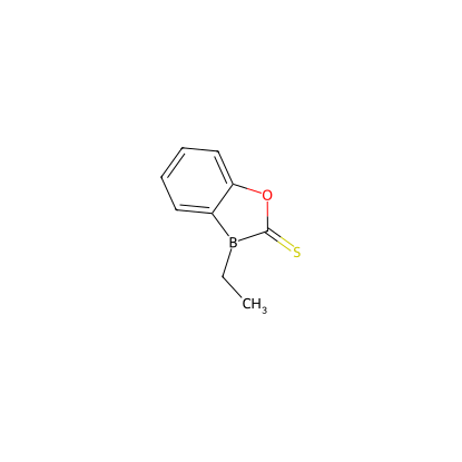 CCB1C(=S)Oc2ccccc21